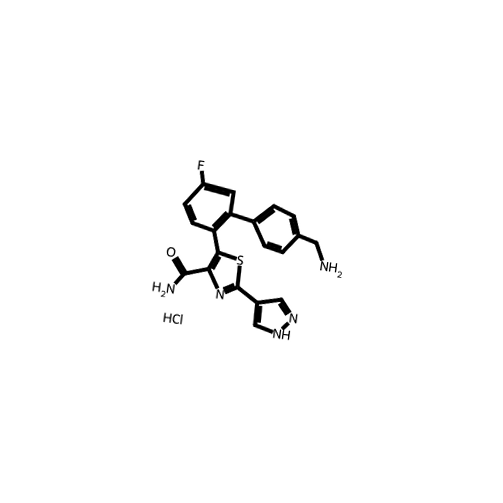 Cl.NCc1ccc(-c2cc(F)ccc2-c2sc(-c3cn[nH]c3)nc2C(N)=O)cc1